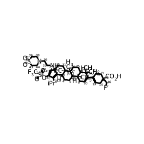 CC(C)C1=C2[C@H]3CC[C@@H]4[C@@]5(C)CC=C(C6=CC[C@](CF)(C(=O)O)CC6)C(C)(C)[C@@H]5CC[C@@]4(C)[C@]3(C)CC[C@@]2(NCCN2CCS(=O)(=O)CC2)C=C1OS(=O)(=O)C(F)(F)F